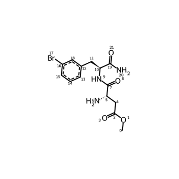 COC(=O)C[C@H](N)C(=O)N[C@@H](Cc1cccc(Br)c1)C(N)=O